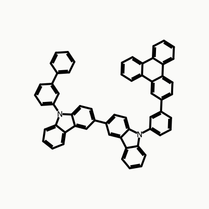 c1ccc(-c2cccc(-n3c4ccccc4c4cc(-c5ccc6c(c5)c5ccccc5n6-c5cccc(-c6ccc7c8ccccc8c8ccccc8c7c6)c5)ccc43)c2)cc1